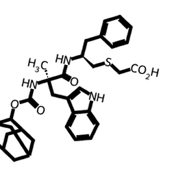 C[C@](Cc1c[nH]c2ccccc12)(NC(=O)OC1C2CC3CC(C2)CC1C3)C(=O)N[C@H](CSCC(=O)O)Cc1ccccc1